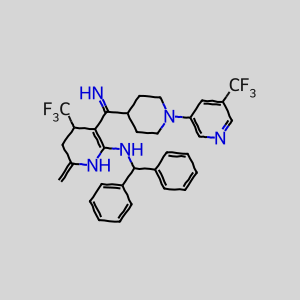 C=C1CC(C(F)(F)F)C(C(=N)C2CCN(c3cncc(C(F)(F)F)c3)CC2)=C(NC(c2ccccc2)c2ccccc2)N1